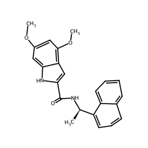 COc1cc(OC)c2cc(C(=O)N[C@H](C)c3cccc4ccccc34)[nH]c2c1